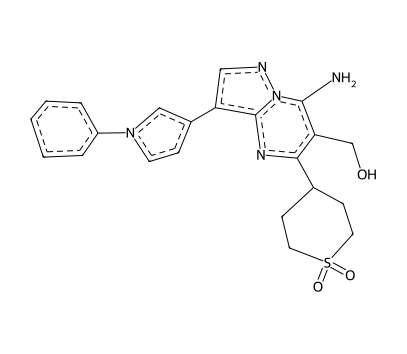 Nc1c(CO)c(C2CCS(=O)(=O)CC2)nc2c(-c3ccn(-c4ccccc4)c3)cnn12